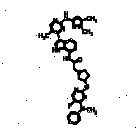 Cc1cnc(Nc2cc(C)n(C)n2)nc1-c1c[nH]c2c(NC(=O)CN3CCC(Oc4ncc(F)c(N(C)c5ccccc5)n4)C3)cccc12